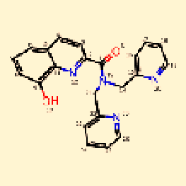 O=C(c1ccc2cccc(O)c2n1)N(Cc1ccccn1)Cc1ccccn1